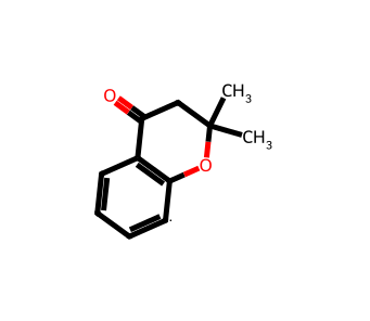 CC1(C)CC(=O)c2ccc[c]c2O1